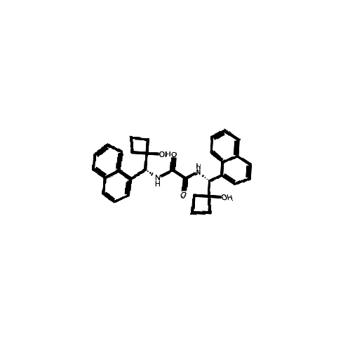 O=C(N[C@H](c1cccc2ccccc12)C1(O)CCC1)C(=O)N[C@H](c1cccc2ccccc12)C1(O)CCC1